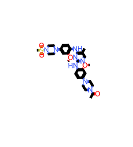 COc1cc(N2CCN(C(C)=O)CC2)ccc1Nc1ncc(C)c(Nc2ccc(N3CCN(S(C)(=O)=O)CC3)cc2OC)n1